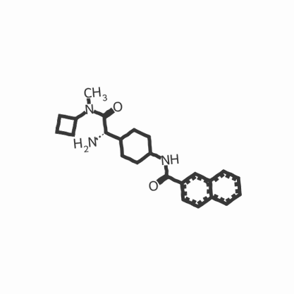 CN(C(=O)[C@@H](N)C1CCC(NC(=O)c2ccc3ccccc3c2)CC1)C1CCC1